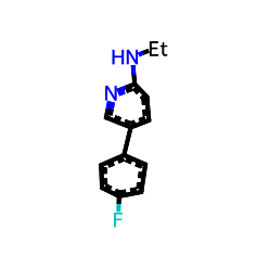 CCNc1ccc(-c2ccc(F)cc2)cn1